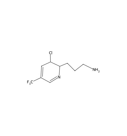 NCCCC1N=CC(C(F)(F)F)=CC1Cl